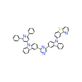 c1ccc(-c2cc(-n3c4ccccc4c4cc(-c5cncc(-c6ccc7c(c6)c6ccccc6n7-c6ccc7sc8cccnc8c7c6)n5)ccc43)cc(-c3ccccc3)n2)cc1